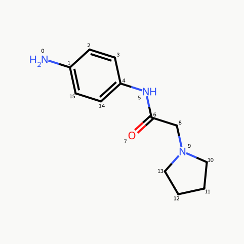 Nc1ccc(NC(=O)CN2CCCC2)cc1